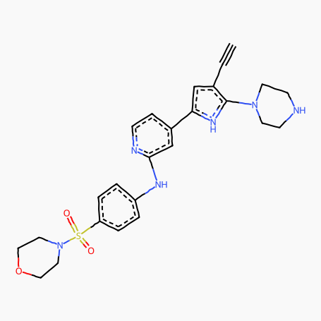 C#Cc1cc(-c2ccnc(Nc3ccc(S(=O)(=O)N4CCOCC4)cc3)c2)[nH]c1N1CCNCC1